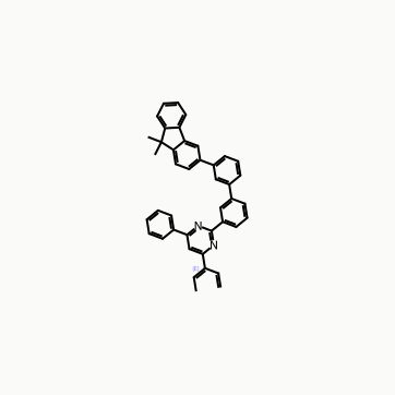 C=C/C(=C\C)c1cc(-c2ccccc2)nc(-c2cccc(-c3cccc(-c4ccc5c(c4)-c4ccccc4C5(C)C)c3)c2)n1